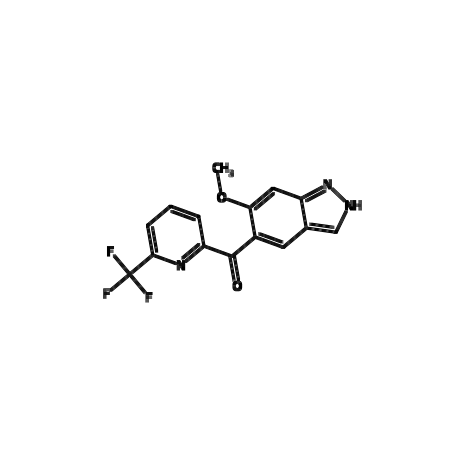 COc1cc2n[nH]cc2cc1C(=O)c1cccc(C(F)(F)F)n1